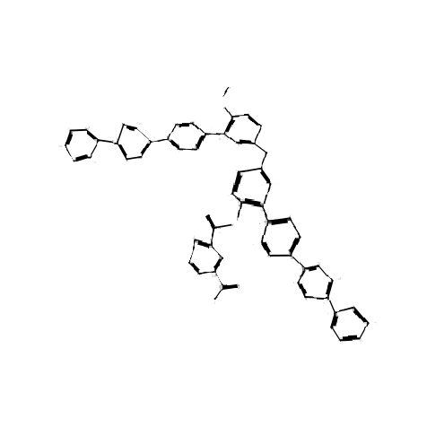 COc1ccc(Cc2ccc(OC(=O)c3cccc(C(C)=O)c3)c(-c3ccc(-c4ccc(-c5ccccc5)cc4)cc3)c2)cc1-c1ccc(-c2ccc(-c3ccccc3)cc2)cc1